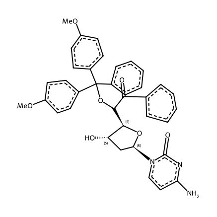 COc1ccc(C(OC(C(=O)c2ccccc2)[C@H]2O[C@@H](n3ccc(N)nc3=O)C[C@@H]2O)(c2ccccc2)c2ccc(OC)cc2)cc1